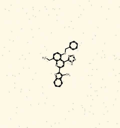 CCc1ccc(OCc2ccccc2)c2c(-c3nnn[nH]3)cc(-c3oc4ccccc4c3C)nc12